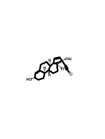 CC[C@]12CC[C@H]3[C@@H](CCC4=C[C@@H](O)CC[C@@H]43)[C@@H]1C=C[C@]2(C#CCl)OC(C)=O